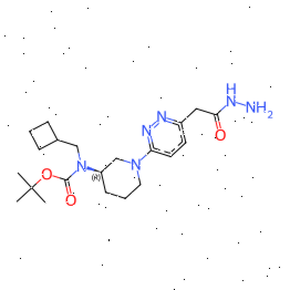 CC(C)(C)OC(=O)N(CC1CCC1)[C@@H]1CCCN(c2ccc(CC(=O)NN)nn2)C1